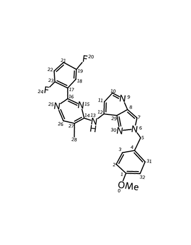 COc1ccc(Cn2cc3nccc(Nc4nc(-c5cc(F)ccc5F)ncc4C)c3n2)cc1